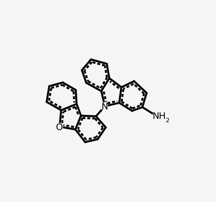 Nc1ccc2c3ccccc3n(-c3cccc4oc5ccccc5c34)c2c1